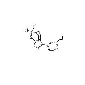 FC(Cl)(Cl)Sc1ccc(-c2cccc(Cl)c2)[nH]1